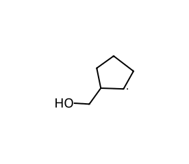 OCC1[CH]CCC1